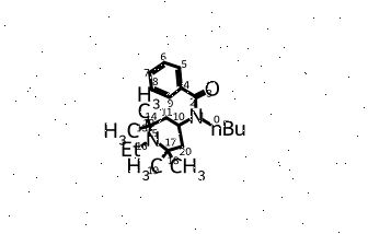 CCCCN(C(=O)c1ccccc1)C1CC(C)(C)N(CC)C(C)(C)C1